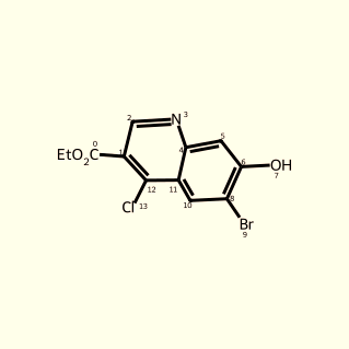 CCOC(=O)c1cnc2cc(O)c(Br)cc2c1Cl